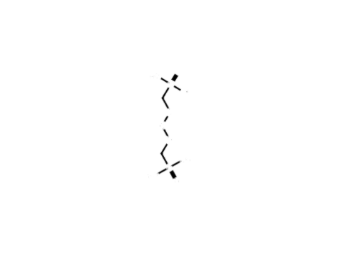 O=P(O)(O)COOOCP(=O)(O)O